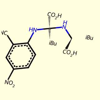 CC[C@H](C)[C@H](N[C@@](Nc1ccc([N+](=O)[O-])cc1C#N)(C(=O)O)[C@@H](C)CC)C(=O)O